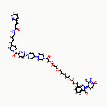 O=C(/C=C/c1cccnc1)NCCCCC1CCN(C(=O)c2ccc(N3CCC(N4CCN(C(=O)COCCOCCOCCOCCNc5cccc6c5CN(C5CCC(=O)NC5=O)C6=O)CC4)CC3)nn2)CC1